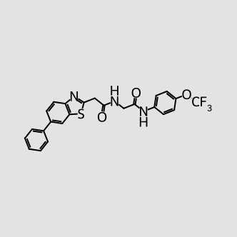 O=C(Cc1nc2ccc(-c3ccccc3)cc2s1)NCC(=O)Nc1ccc(OC(F)(F)F)cc1